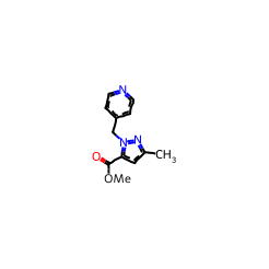 COC(=O)c1cc(C)nn1Cc1ccncc1